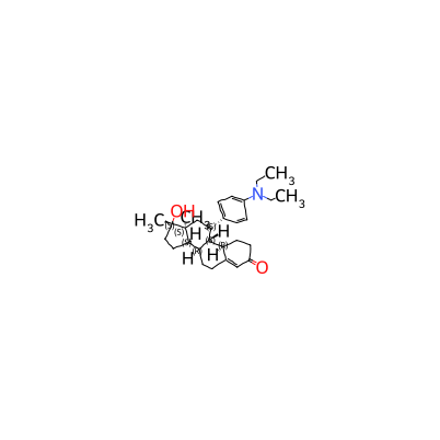 CCN(CC)c1ccc([C@H]2C[C@@]3(C)[C@@H](CC[C@]3(C)O)[C@@H]3CCC4=CC(=O)CC[C@@H]4[C@H]32)cc1